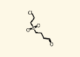 O=CCCCS(=O)(=O)CCCl